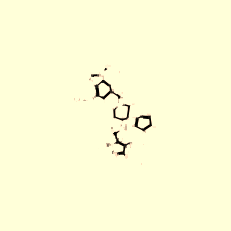 COc1cc(C(=O)N2CC[C@@H](NC(=O)c3c(C(F)(F)F)c(C)nn3C)[C@@H](c3ccccc3)C2)cc2c1ncn2C